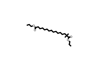 CCCOC(=O)CCCCCCCCCCCCCC(C)(C)C(=O)OCCC